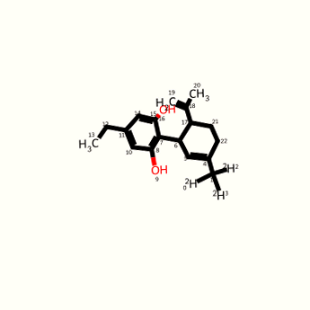 [2H]C([2H])([2H])C1=CC(c2c(O)cc(CC)cc2O)C(C(=C)C)CC1